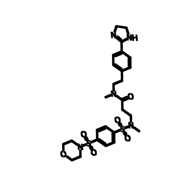 CN(CCc1ccc(C2=NCCN2)cc1)C(=O)CCN(C)S(=O)(=O)c1ccc(S(=O)(=O)N2CCOCC2)cc1